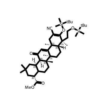 COC(=O)[C@@H]1CC(C)(C)C[C@@H]2C1CC[C@]1(C)[C@@H]2C(=O)C=C2[C@@]3(C)CC(C#N)=C(O[Si](C)(C)C(C)(C)C)[C@@](C)(CCO[Si](C)(C)C(C)(C)C)[C@@H]3CC[C@]21C